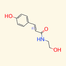 O=C(/C=C/c1ccc(O)cc1)NCCO